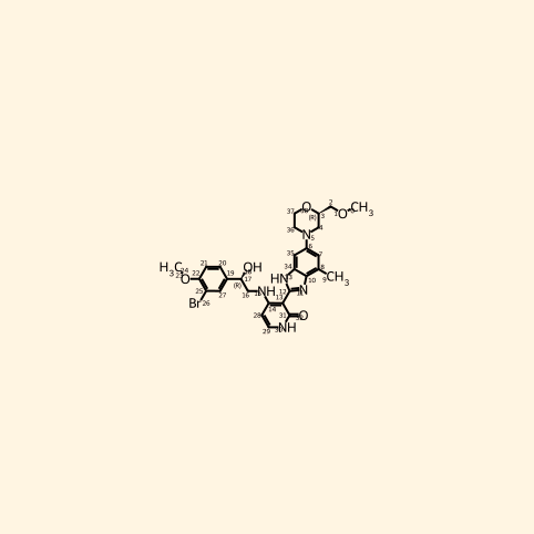 COC[C@H]1CN(c2cc(C)c3nc(-c4c(NC[C@H](O)c5ccc(OC)c(Br)c5)cc[nH]c4=O)[nH]c3c2)CCO1